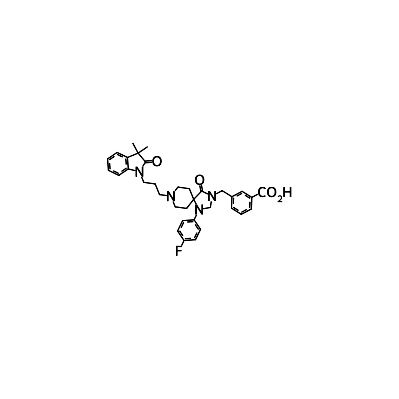 CC1(C)C(=O)N(CCCN2CCC3(CC2)C(=O)N(Cc2cccc(C(=O)O)c2)CN3c2ccc(F)cc2)c2ccccc21